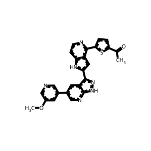 COc1cncc(-c2cnc3[nH]nc(-c4cc5c(-c6ccc(C(C)=O)s6)nccc5[nH]4)c3c2)c1